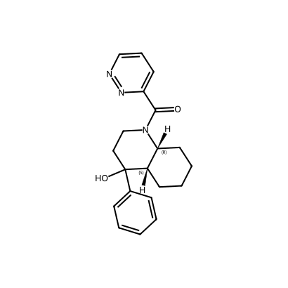 O=C(c1cccnn1)N1CCC(O)(c2ccccc2)[C@H]2CCCC[C@H]21